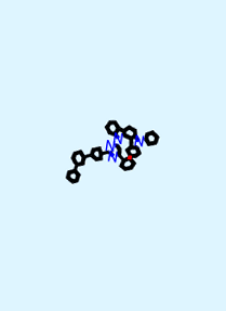 c1ccc(-c2cccc(-c3ccc(-c4nc(-c5ccccc5)cc(-n5c6ccccc6c6ccc7c(c8ccccc8n7-c7ccccc7)c65)n4)cc3)c2)cc1